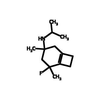 CC(C)NC1(C)CC2=C(CC2)C(C)(F)C1